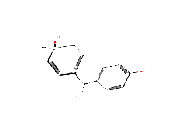 CC(C1=CCC(C)(O)C=C1)c1ccc(O)cc1